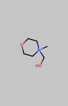 C[N+]1(CO)CCOCC1